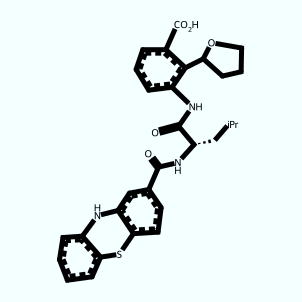 CC(C)C[C@H](NC(=O)c1ccc2c(c1)Nc1ccccc1S2)C(=O)Nc1cccc(C(=O)O)c1C1CCCO1